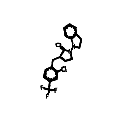 O=C1C(Cc2ccc(C(F)(F)F)cc2Cl)CCN1N1CCc2ccccc21